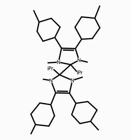 CC1CCC(C2=C(C3CCC(C)CC3)N(C)C(C(C)C)(C3(C(C)C)N(C)C(C4CCC(C)CC4)=C(C4CCC(C)CC4)N3C)N2C)CC1